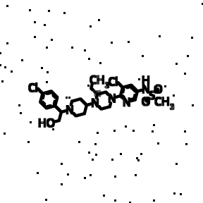 CC[C@H]1CN(c2ncc(NS(C)(=O)=O)cc2Cl)CCN1C1CCN(C(CO)c2ccc(Cl)cc2)CC1